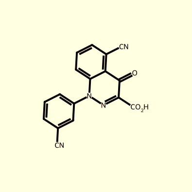 N#Cc1cccc(-n2nc(C(=O)O)c(=O)c3c(C#N)cccc32)c1